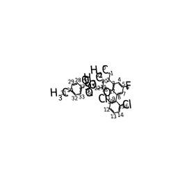 C=CCc1cc(F)cc(-c2c(Cl)cccc2Cl)c1OC(C=C)COS(=O)(=O)c1ccc(C)cc1